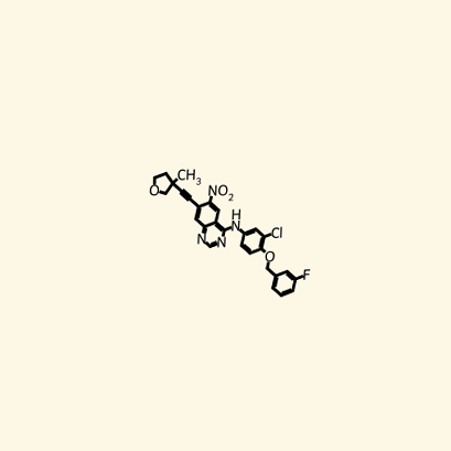 CC1(C#Cc2cc3ncnc(Nc4ccc(OCc5cccc(F)c5)c(Cl)c4)c3cc2[N+](=O)[O-])CCOC1